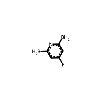 Bc1cc(F)cc(B)n1